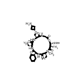 CCCCCC[C@H]1OC(=O)CNC(=O)[C@H](CO[C@H]2C[C@H](N)C2)NC(=O)[C@H](CN)NC(=O)[C@H](C2CCCCC2)NC(=O)[C@H](CC(C)C)N(C)C(=O)[C@@H]1C